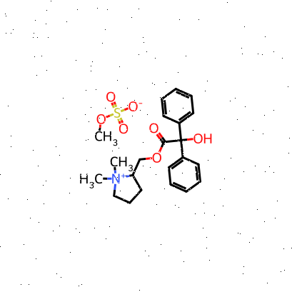 COS(=O)(=O)[O-].C[N+]1(C)CCCC1COC(=O)C(O)(c1ccccc1)c1ccccc1